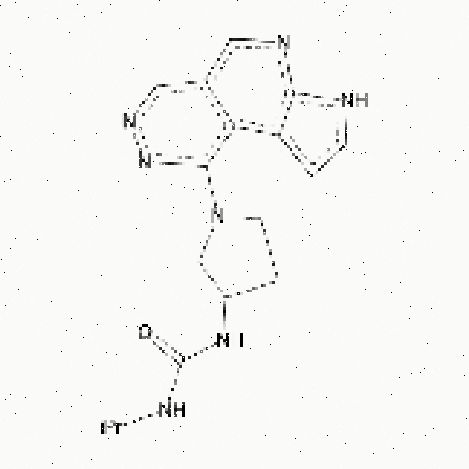 CC(C)NC(=O)NC1CCN(c2nncc3cnc4[nH]ccc4c23)C1